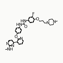 CNc1nccc(-c2cccnc2Oc2ccc(NC(=O)Nc3ccc(OCCCN4CCN(C)CC4)c(F)c3)cc2)n1